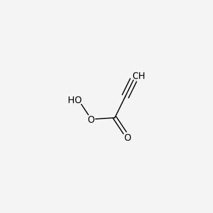 C#CC(=O)OO